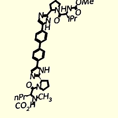 CCC[C@@H](C(=O)N1CCC[C@H]1c1ncc(-c2ccc(-c3ccc(-c4cnc(C5CCCN5C(=O)[C@@H](NC(=O)OC)C(C)C)[nH]4)cc3)cc2)[nH]1)N(C)C(=O)O